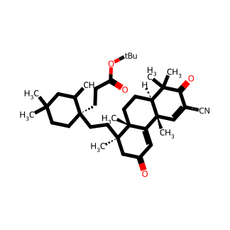 CC1CC(C)(C)CC[C@]1(CCC(=O)OC(C)(C)C)CC[C@]1(C)CC(=O)C=C2[C@@]3(C)C=C(C#N)C(=O)C(C)(C)[C@@H]3CC[C@]21C